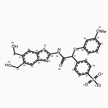 CCS(=O)(=O)c1ccc(C(Oc2cccc(OC)c2)C(=O)Nc2nc3cc(CO)c(CO)cc3s2)cc1